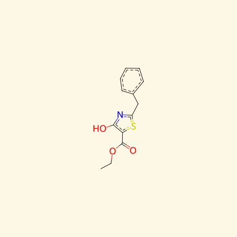 CCOC(=O)c1sc(Cc2ccccc2)nc1O